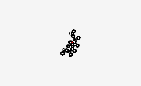 c1ccc(N(c2ccc3oc4ccccc4c3c2)c2ccc3c4c(c5ccccc5c3c2)-c2c(cc(N(c3ccccc3)c3ccc5oc6ccccc6c5c3)c3ccccc23)C4(c2ccccc2)c2ccccc2)cc1